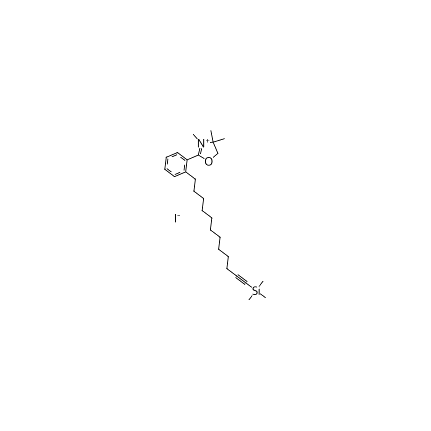 C[N+]1=C(c2ccccc2CCCCCCCCCCC#C[Si](C)(C)C)OCC1(C)C.[I-]